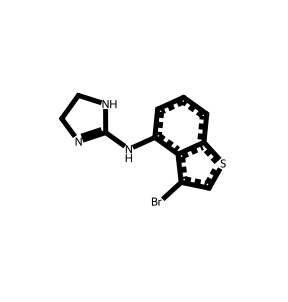 Brc1csc2cccc(NC3=NCCN3)c12